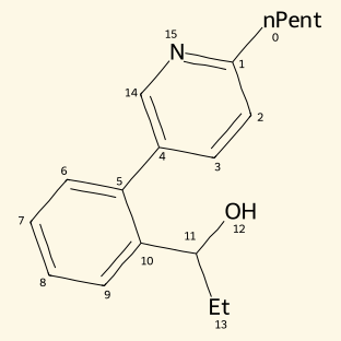 CCCCCc1ccc(-c2ccccc2C(O)CC)cn1